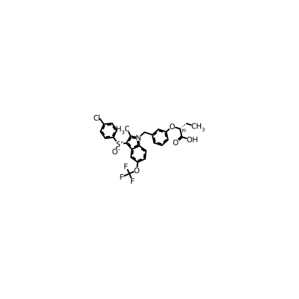 CC[C@@H](Oc1cccc(Cn2c(C)c([S+]([O-])c3ccc(Cl)cc3)c3cc(OC(F)(F)F)ccc32)c1)C(=O)O